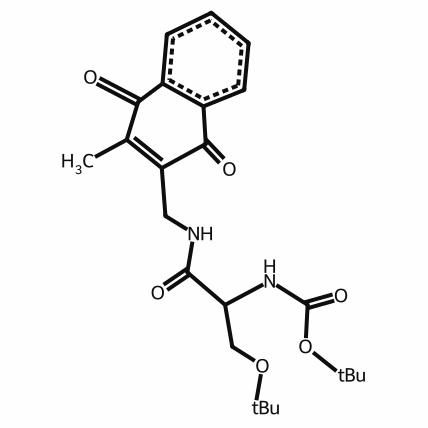 CC1=C(CNC(=O)C(COC(C)(C)C)NC(=O)OC(C)(C)C)C(=O)c2ccccc2C1=O